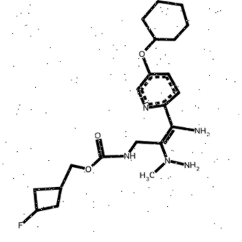 CN(N)/C(CNC(=O)OCC1CC(F)C1)=C(\N)c1ccc(OC2CCCCC2)cn1